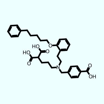 O=C(O)c1ccc(CN(CCCC(C(=O)O)C(=O)O)CCc2ccccc2OCCCCCc2ccccc2)cc1